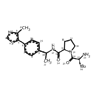 Cc1ncsc1-c1ccc(C(C)NC(=O)C2CCCN2C(=O)[C@@H](N)C(C)(C)C)cc1